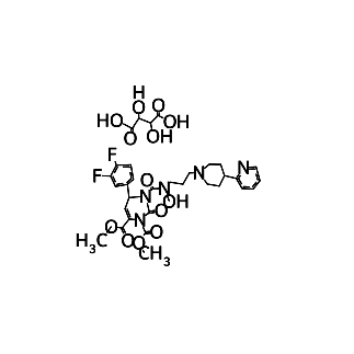 COC(=O)C1=CC(c2ccc(F)c(F)c2)N(C(=O)N(O)CCCN2CCC(c3ccccn3)CC2)C(=O)N1C(=O)OC.O=C(O)C(O)C(O)C(=O)O